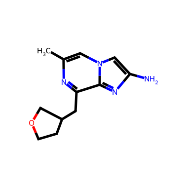 Cc1cn2cc(N)nc2c(CC2CCOC2)n1